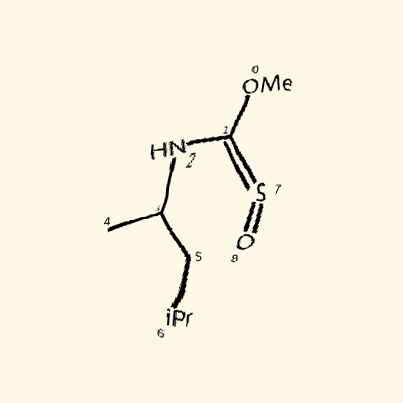 COC(NC(C)CC(C)C)=S=O